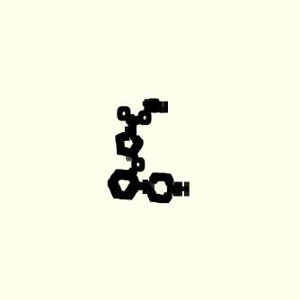 CC(C)(C)OC(=O)N1CC[C@H](Oc2ccccc2N2CCNCC2)C1